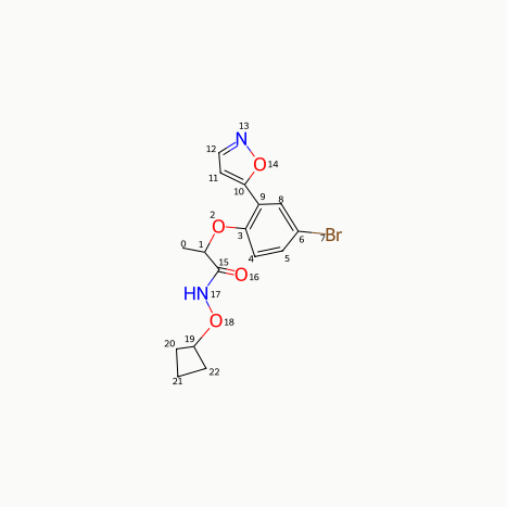 CC(Oc1ccc(Br)cc1-c1ccno1)C(=O)NOC1CCC1